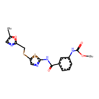 CC(C)(C)OC(=O)Nc1cccc(C(=O)Nc2ncc(SCc3ncc(C(C)(C)C)o3)s2)c1